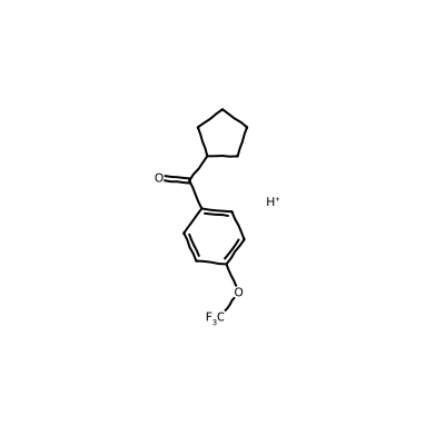 O=C(c1ccc(OC(F)(F)F)cc1)C1CCCC1.[H+]